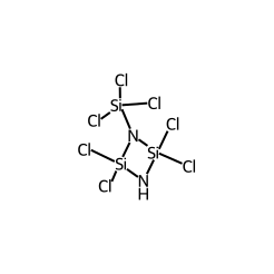 Cl[Si](Cl)(Cl)N1[Si](Cl)(Cl)N[Si]1(Cl)Cl